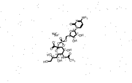 CC(=O)N[C@H]1[C@H]([C@H](O)[C@H](O)CO)O[C@](OP(=O)([O-])OC[C@H]2O[C@@H](n3ccc(N)nc3=O)[C@H](O)[C@@H]2O)(C(=O)[O-])C[C@@H]1O.[Na+].[Na+]